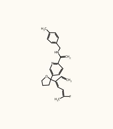 C=C/C(=C\C=C(/C)F)C1(c2ccc(C(=C)NCc3ccc(C)cc3)nc2)CCCO1